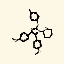 COc1ccc(-c2nc(Sc3ccc(C)cc3)n(C3CCCCO3)c2-c2ccc(OC)cc2)cc1